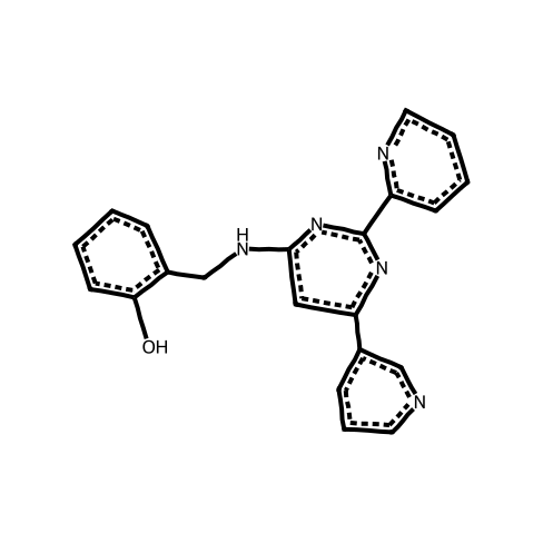 Oc1ccccc1CNc1cc(-c2cccnc2)nc(-c2ccccn2)n1